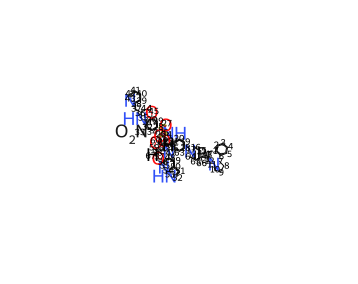 CC(C)c1ccccc1[C@@H]1CCCN1C1CC2(CCN(c3ccc(C(=O)NS(=O)(=O)c4cc5c(c([N+](=O)[O-])c4)N[C@@H](Cc4ccccn4)CO5)c(N4c5cc6cc[nH]c6nc5O[C@H]5COC[C@@H]54)c3)CC2)C1